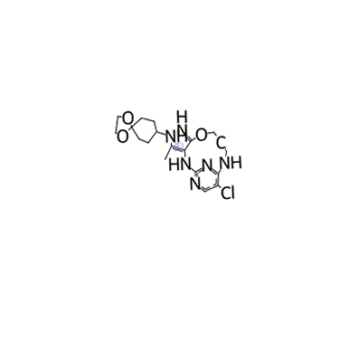 C/C(NC1CCC2(CC1)OCCO2)=C1\Nc2ncc(Cl)c(n2)NCCCOC1=N